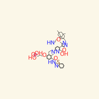 CNCCOC12CC3(C)CC(C)(CC(Cn4ncc(-c5ccc(N6CCc7c(OCCCP(=O)(O)O)ccc(C(=O)Nc8nc9ccccc9s8)c7C6)nc5C(=O)O)c4C)(C3)C1)C2